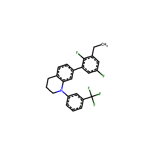 CCc1cc(F)cc(-c2ccc3c(c2)N(c2cccc(C(F)(F)F)c2)CCC3)c1F